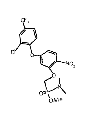 COP(=O)(COc1cc(Oc2ccc(C(F)(F)F)cc2Cl)ccc1[N+](=O)[O-])N(C)C